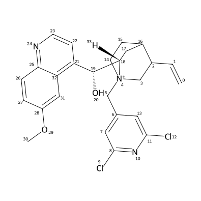 C=CC1C[N+]2(Cc3cc(Cl)nc(Cl)c3)CCC1C[C@H]2[C@H](O)c1ccnc2ccc(OC)cc12